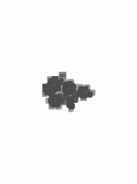 C=CC(=O)Nc1cc(Nc2ncc3ncc(-c4cccc(F)c4)n3n2)ccc1OC1CCN(C)C1